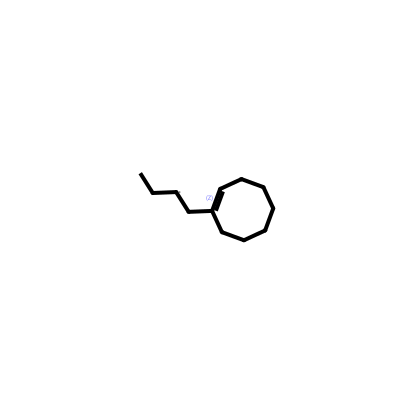 CC[CH]C/C1=C/CCCCCC1